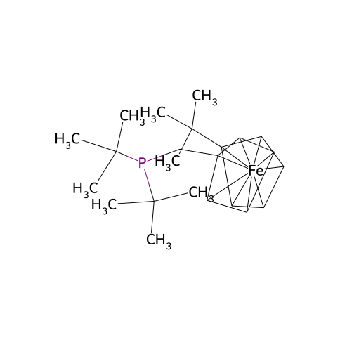 CC(C)(C)P(C[C]12[CH]3[CH]4[CH]5[CH]1[Fe]45321678[CH]2[CH]1[CH]6[C]7(C(C)(C)C)[CH]28)C(C)(C)C